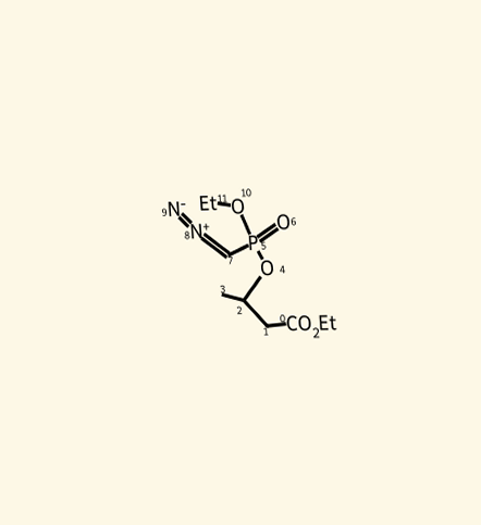 CCOC(=O)CC(C)OP(=O)(C=[N+]=[N-])OCC